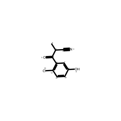 CC(C#N)C(=O)c1cc(O)ccc1Cl